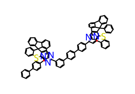 c1ccc(-c2ccc(-c3nc(-c4cccc(-c5ccc(-c6ccc(-c7cc(-c8ccccc8)nc(-c8cccc9c8C8(c%10ccccc%10Sc%10ccccc%108)c8ccccc8-9)n7)cc6)cc5)c4)nc(-c4cccc5c4C4(c6ccccc6Sc6ccccc64)c4ccccc4-5)n3)cc2)cc1